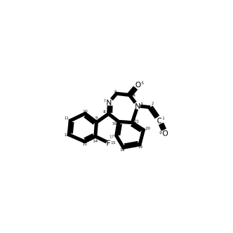 O=C=CN1C(=O)CN=C(c2ccccc2F)c2ccccc21